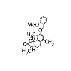 COc1ccccc1COc1cc(C)c2c(c1C)[C@@H]1OC(=O)C(C)[C@@H]1CC2